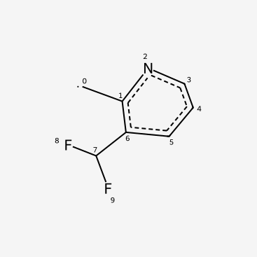 [CH2]c1ncccc1C(F)F